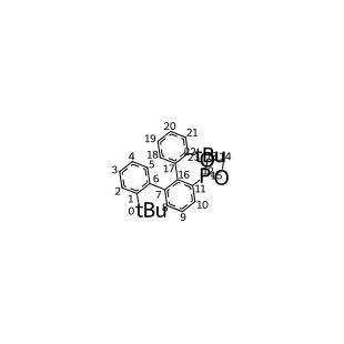 CC(C)(C)c1ccccc1-c1cccc(P2OCO2)c1-c1ccccc1C(C)(C)C